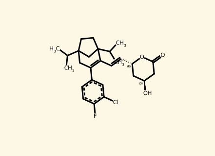 CC(C)C12CCC(C(C)C)(C1)C(C=C[C@H]1C[C@H](O)CC(=O)O1)=C(c1ccc(F)c(Cl)c1)C2